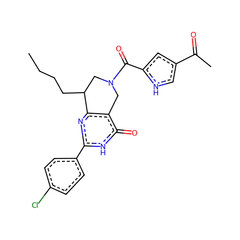 CCCCC1CN(C(=O)c2cc(C(C)=O)c[nH]2)Cc2c1nc(-c1ccc(Cl)cc1)[nH]c2=O